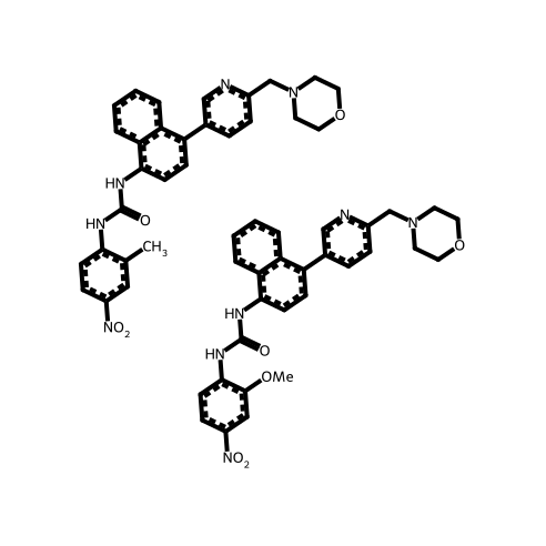 COc1cc([N+](=O)[O-])ccc1NC(=O)Nc1ccc(-c2ccc(CN3CCOCC3)nc2)c2ccccc12.Cc1cc([N+](=O)[O-])ccc1NC(=O)Nc1ccc(-c2ccc(CN3CCOCC3)nc2)c2ccccc12